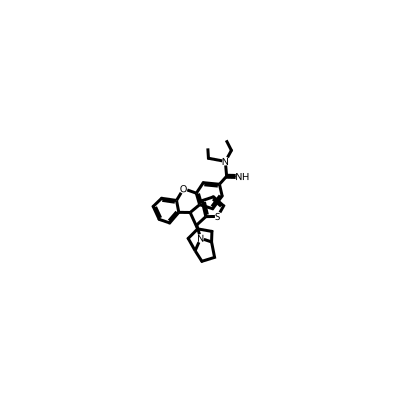 CCN(CC)C(=N)c1ccc2c(c1)Oc1ccccc1C2C1CC2CCC(C1)N2Cc1cccs1